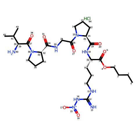 CCCCOC(=O)[C@H](CCCNC(=N)N[N+](=O)[O-])NC(=O)[C@@H]1CCCN1C(=O)CNC(=O)[C@@H]1CCCN1C(=O)[C@@H](N)C(C)C.Cl